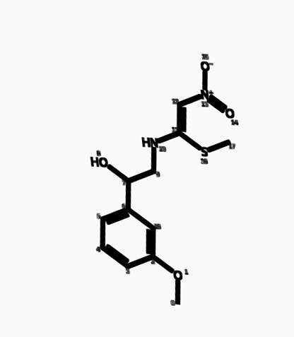 COc1cccc(C(O)CNC(=C[N+](=O)[O-])SC)c1